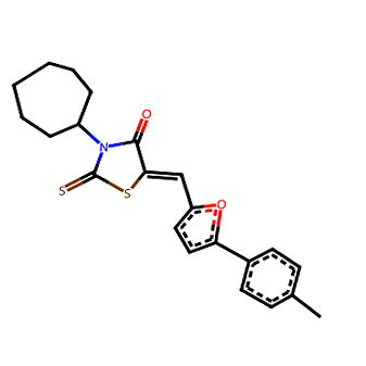 Cc1ccc(-c2ccc(C=C3SC(=S)N(C4CCCCCC4)C3=O)o2)cc1